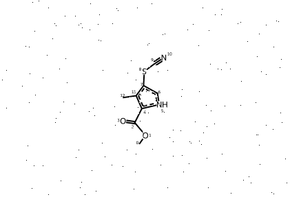 COC(=O)c1[nH]cc(SC#N)c1C